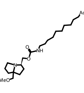 COCC12CCCN1[C@@H](COC(=O)NCCCCCCCCCCC(C)=O)CC2